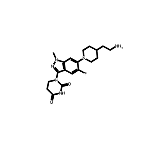 Cn1nc(N2CCC(=O)NC2=O)c2cc(F)c(N3CCC(CCN)CC3)cc21